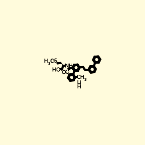 CSCC[C@H](NC(=O)c1ccc(CCc2cccc(-c3ccccc3)c2)cc1-c1ccccc1C)C(=O)O.[LiH]